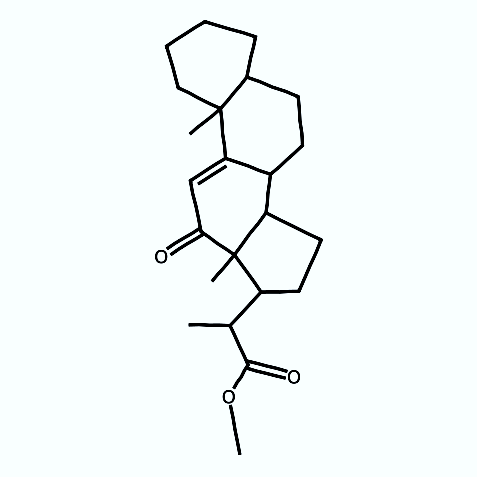 COC(=O)C(C)C1CCC2C3CCC4CCCCC4(C)C3=CC(=O)C12C